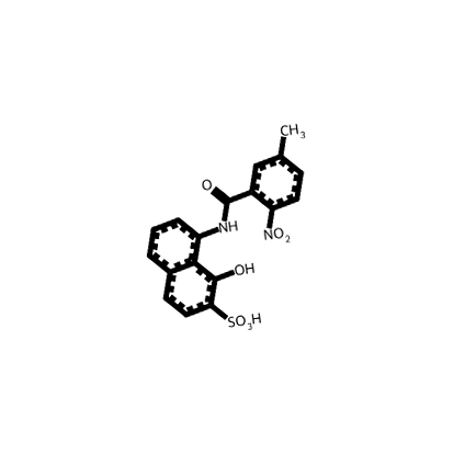 Cc1ccc([N+](=O)[O-])c(C(=O)Nc2cccc3ccc(S(=O)(=O)O)c(O)c23)c1